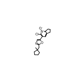 CC1(Cc2ncc(-c3cc4c([n+]([O-])c3Cl)CCC4)o2)CCCC1